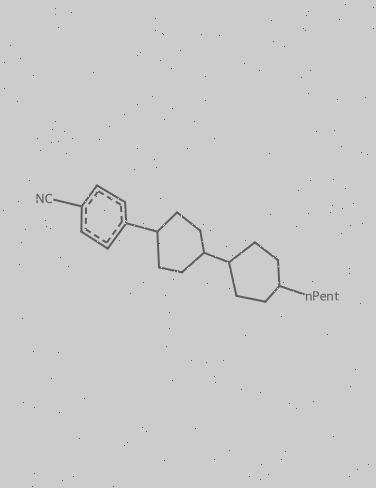 CCCCCC1CCC(C2CCC(c3ccc(C#N)cc3)CC2)CC1